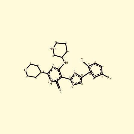 O=c1[nH]c(N2CCOCC2)nc(N[C@@H]2CCCNC2)c1-c1nc(-c2cc(F)ccc2F)cs1